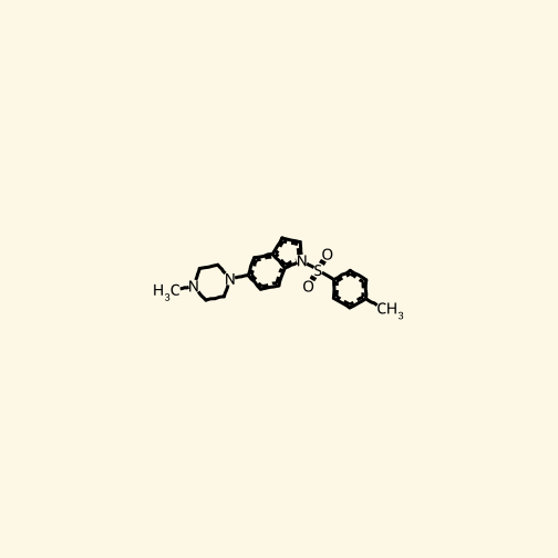 Cc1ccc(S(=O)(=O)n2ccc3cc(N4CCN(C)CC4)ccc32)cc1